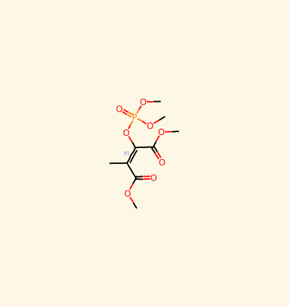 COC(=O)/C(C)=C(/OP(=O)(OC)OC)C(=O)OC